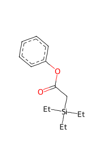 CC[Si](CC)(CC)CC(=O)Oc1ccccc1